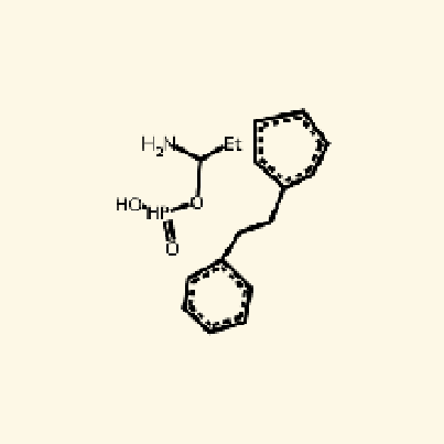 CCC(N)O[PH](=O)O.c1ccc(CCc2ccccc2)cc1